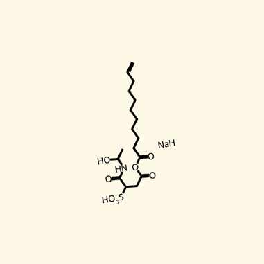 C=CCCCCCCCCC(=O)OC(=O)CC(C(=O)NC(C)O)S(=O)(=O)O.[NaH]